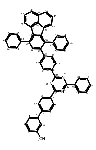 N#Cc1cccc(-c2ccc(-c3nc(-c4ccccc4)nc(-c4ccc(-c5cc(-c6ccccc6)c6c(c5-c5ccccc5)-c5cccc7cccc-6c57)cc4)n3)cc2)c1